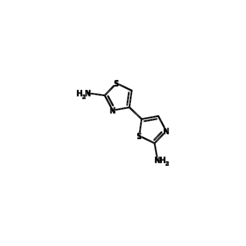 Nc1nc(-c2cnc(N)s2)cs1